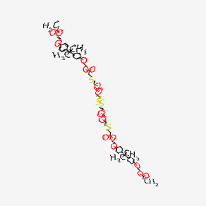 C=CC(=O)OCCOc1ccc(C(C)(C)c2ccc(OCCOC(=O)CCSCCOCOCCSSCCOCOCCSCCC(=O)OCCOc3ccc(C(C)(C)c4ccc(OCCOC(=O)C=C)cc4)cc3)cc2)cc1